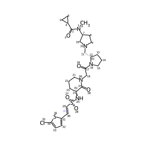 CN(C(=O)C1CC1)C1CCN(C[C@@H]2CCCN2C(=O)CN2CCC[C@H](NS(=O)(=O)/C=C/c3ccc(Cl)s3)C2=O)C1